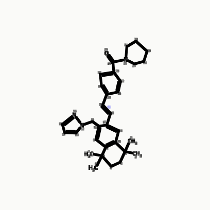 CC1(C)CCC(C)(C)c2cc(Cn3cccn3)c(/C=C/c3ccc(C(=O)N4CCCCC4)cc3)cc21